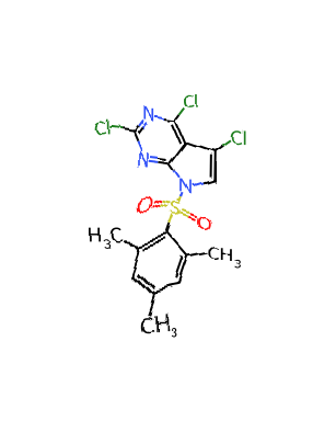 Cc1cc(C)c(S(=O)(=O)n2cc(Cl)c3c(Cl)nc(Cl)nc32)c(C)c1